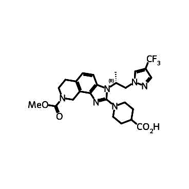 COC(=O)N1CCc2ccc3c(nc(N4CCC(C(=O)O)CC4)n3[C@H](C)Cn3cc(C(F)(F)F)cn3)c2C1